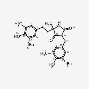 Cc1cc(CCC2(C)NC(=O)N(Cc3cc(C)c(O)c(C(C)(C)C)c3)C2=O)cc(C(C)(C)C)c1O